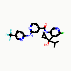 CC(C)C(O)(c1cc(Cl)ncc1NC(=O)c1ccnc(Nc2ccc(C(F)(F)F)cn2)c1)C1CC1